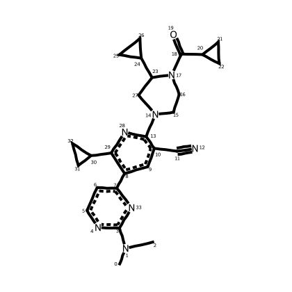 CN(C)c1nccc(-c2cc(C#N)c(N3CCN(C(=O)C4CC4)C(C4CC4)C3)nc2C2CC2)n1